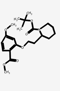 COC(=O)c1ccc(OC)cc1OCCC1CCCCN1C(=O)OC(C)(C)C